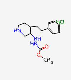 COC(=O)NNC1CNCCC1CCc1ccccc1.Cl